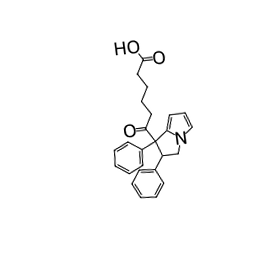 O=C(O)CCCCC(=O)C1(c2ccccc2)c2cccn2CC1c1ccccc1